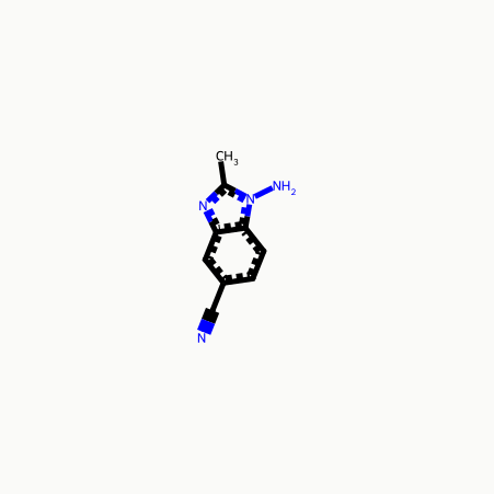 Cc1nc2cc(C#N)ccc2n1N